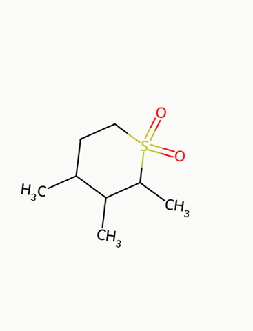 CC1CCS(=O)(=O)C(C)C1C